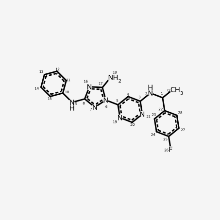 CC(Nc1cc(-n2nc(Nc3ccccc3)nc2N)ncn1)c1ccc(F)cc1